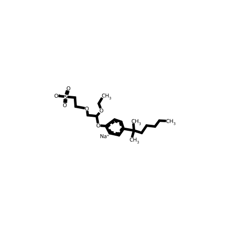 CCCCCC(C)(C)c1ccc(OC(COCCS(=O)(=O)[O-])OCC)cc1.[Na+]